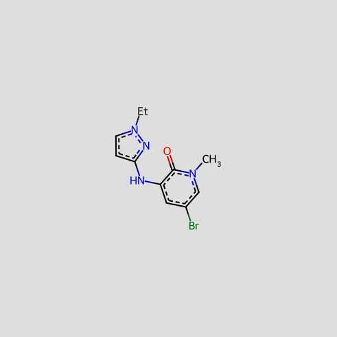 [CH2]Cn1ccc(Nc2cc(Br)cn(C)c2=O)n1